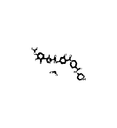 Cn1c(-c2ccc(OC(F)F)c(F)c2F)cnc1C(=O)Nc1ccc(C(=O)N2CCC(C(=O)NC3CCNCC3)CC2)c(Cl)c1.O=CO